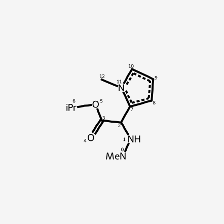 CNNC(C(=O)OC(C)C)c1cccn1C